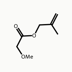 C=C(C)COC(=O)COC